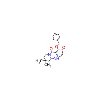 CC1(C)CCN2C(=O)c3c(OCc4ccccc4)c(=O)ccn3NC2C1